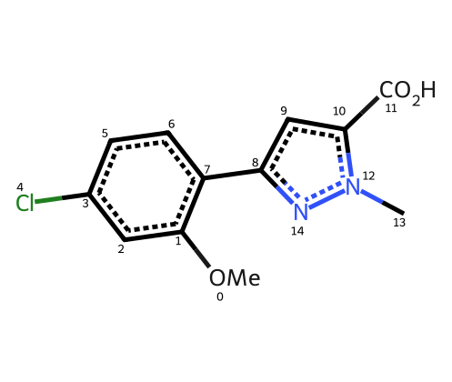 COc1cc(Cl)ccc1-c1cc(C(=O)O)n(C)n1